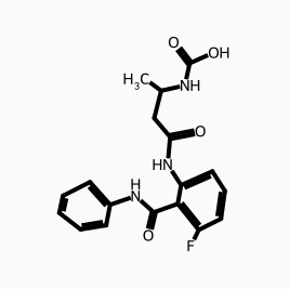 CC(CC(=O)Nc1cccc(F)c1C(=O)Nc1ccccc1)NC(=O)O